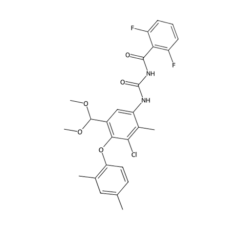 COC(OC)c1cc(NC(=O)NC(=O)c2c(F)cccc2F)c(C)c(Cl)c1Oc1ccc(C)cc1C